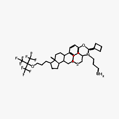 BCCCN(C(Oc1ccc2c(c1)CCC1C2CCC2(C)C(CCCOC(C(F)(F)F)(C(F)(F)F)C(F)(F)F)CCC12)=C1CCC1)C1CCSSC1